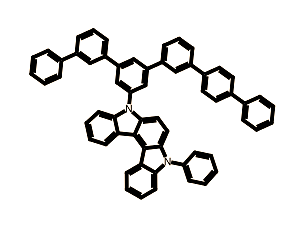 c1ccc(-c2ccc(-c3cccc(-c4cc(-c5cccc(-c6ccccc6)c5)cc(-n5c6ccccc6c6c7c8ccccc8n(-c8ccccc8)c7ccc65)c4)c3)cc2)cc1